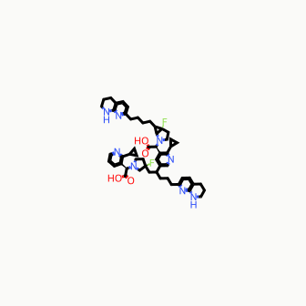 O=C(O)[C@H](c1cc(C(CCCc2ccc3c(n2)NCCC3)C[C@@]2(F)CCN([C@@H](C(=O)O)c3cccnc3C3CC3)C2)cnc1C1CC1)N1CC[C@]2(F)C(CCCCc3ccc4c(n3)NCCC4)C12